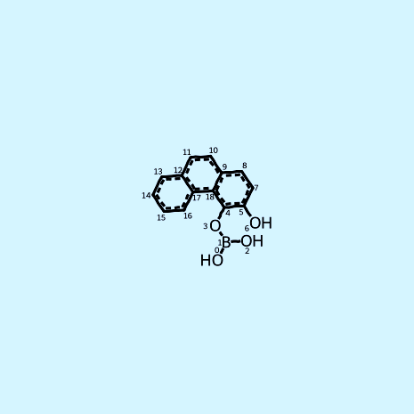 OB(O)Oc1c(O)ccc2ccc3ccccc3c12